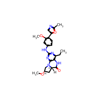 CCc1nc(Nc2ccc(-c3cnc(C)o3)c(OC)c2)nc2c1NC(=O)[C@@H]1C[C@@H](OC)CN21